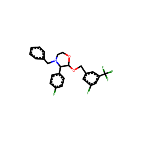 Fc1ccc(C2C(OCc3cc(F)cc(C(F)(F)F)c3)OCCN2Cc2ccccc2)cc1